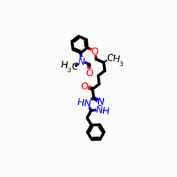 C[C@@H](CCCC(=O)C1=NNC(Cc2ccccc2)N1)COc1ccccc1N(C)C=O